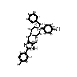 Cc1ccc(-c2nc(CN3CC[N+](Cc4ccccc4)(c4ccc(Cl)cc4)CC3)c(C)[nH]2)cc1